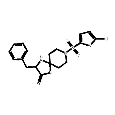 O=C1[N]C2(CCN(S(=O)(=O)c3ccc(Cl)s3)CC2)NC1Cc1ccccc1